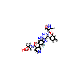 Cc1nocc1C(=O)NC(c1nc2c(F)c(-c3cnccc3C(=O)N3CC(C)(O)C3)ccc2[nH]1)C1CCC(C)CC1